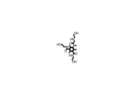 CN(C(=O)CNCCO)c1c(I)c(C(=O)NCCO)c(I)c(C(=O)NCCO)c1I